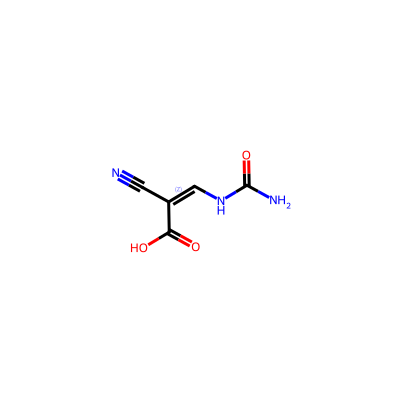 N#C/C(=C/NC(N)=O)C(=O)O